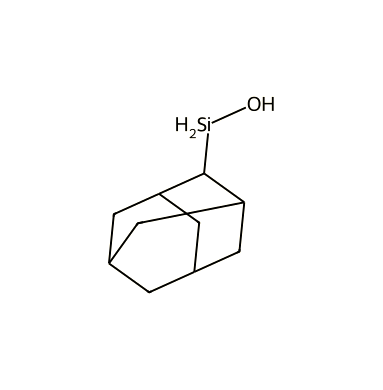 O[SiH2]C1C2CC3CC(C2)CC1C3